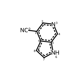 N#Cc1cncc2[nH]ccc12